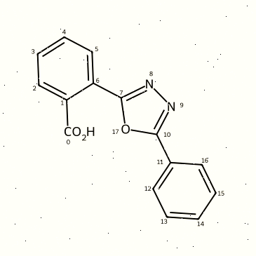 O=C(O)c1ccccc1-c1nnc(-c2ccccc2)o1